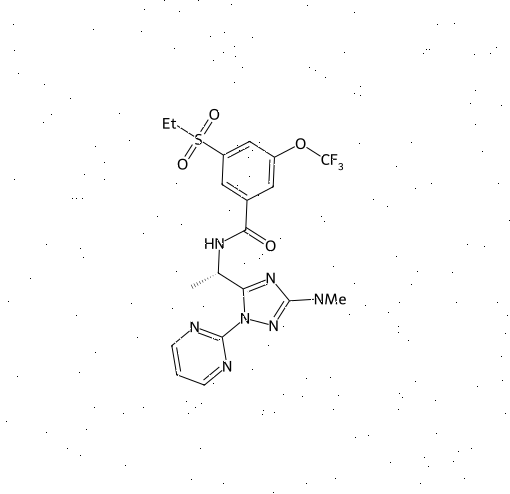 CCS(=O)(=O)c1cc(OC(F)(F)F)cc(C(=O)N[C@@H](C)c2nc(NC)nn2-c2ncccn2)c1